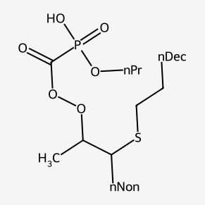 CCCCCCCCCCCCSC(CCCCCCCCC)C(C)OOC(=O)P(=O)(O)OCCC